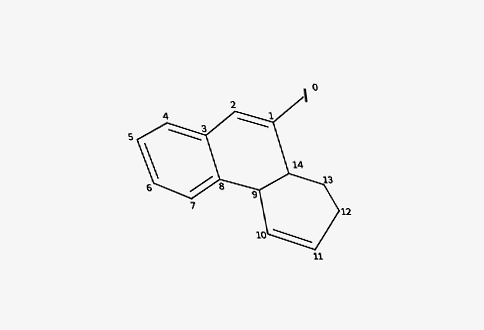 IC1=Cc2ccccc2C2C=CCCC12